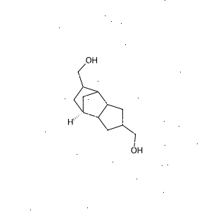 OCC1CC2C3C[C@H](CC3CO)C2C1